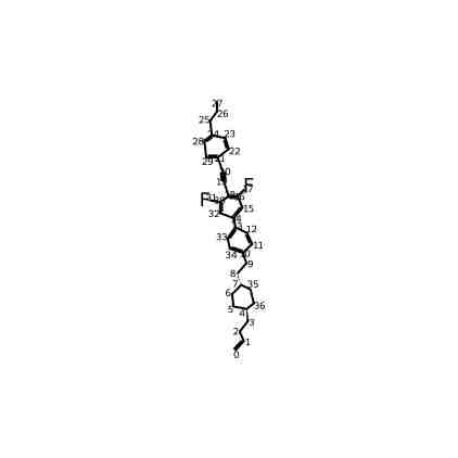 C=CCC[C@H]1CC[C@H](CCc2ccc(-c3cc(F)c(C#Cc4ccc(CCC)cc4)c(F)c3)cc2)CC1